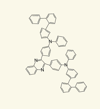 c1ccc(-c2ccccc2-c2cccc(N(c3ccccc3)c3ccc(-c4nc5ccccc5nc4-c4ccc(N(c5ccccc5)c5cccc(-c6ccccc6-c6ccccc6)c5)cc4)cc3)c2)cc1